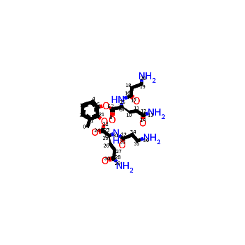 Cc1cccc(OC(=O)[C@H](CCC(N)=O)NC(=O)CCN)c1OC(=O)[C@H](CCC(N)=O)NC(=O)CCN